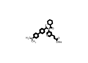 COC(=O)/C=C/c1cncc(N(C(=O)C2CCCCC2)C(F)c2ccc(-c3ccc(N(C)C)cc3)cc2)c1